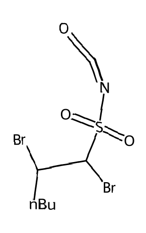 CCCCC(Br)C(Br)S(=O)(=O)N=C=O